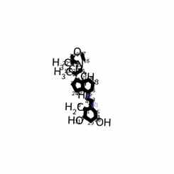 C=C1/C(=C\C=C2/CCC[C@]3(C)[C@@H](C(C)CN4CCOCC4(C)C)CC[C@@H]23)C[C@@H](O)C[C@H]1O